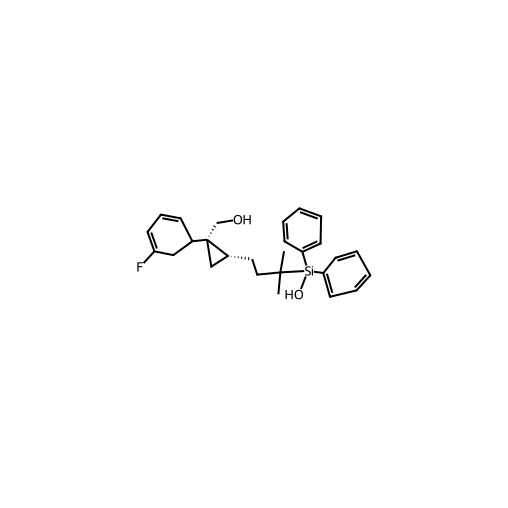 CC(C)(CC[C@@H]1C[C@@]1(CO)C1C=CC=C(F)C1)[Si](O)(c1ccccc1)c1ccccc1